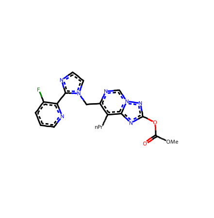 CCCc1c(Cn2ccnc2-c2ncccc2F)ncn2nc(OC(=O)OC)nc12